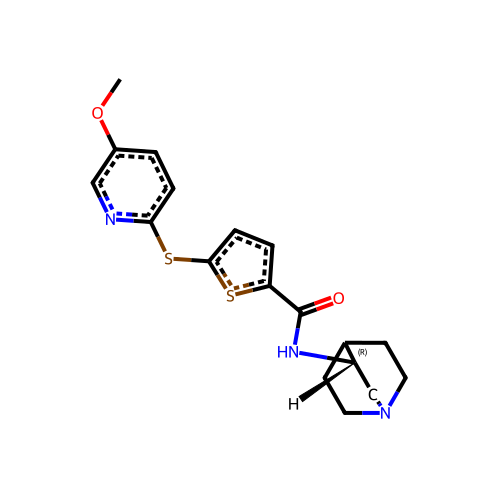 COc1ccc(Sc2ccc(C(=O)N[C@H]3CN4CCC3CC4)s2)nc1